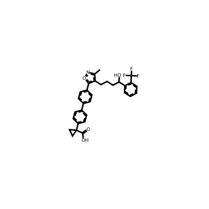 Cc1noc(-c2ccc(-c3ccc(C4(C(=O)O)CC4)cc3)cc2)c1CCCC(O)c1ccccc1C(F)(F)F